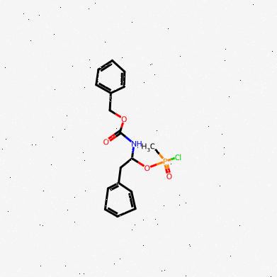 CP(=O)(Cl)OC(Cc1ccccc1)NC(=O)OCc1ccccc1